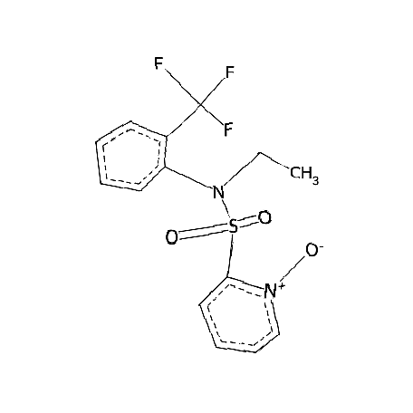 CCN(c1ccccc1C(F)(F)F)S(=O)(=O)c1cccc[n+]1[O-]